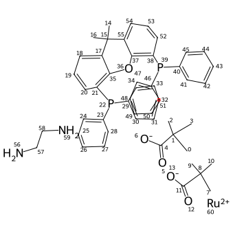 CC(C)(C)C(=O)[O-].CC(C)(C)C(=O)[O-].CC1(C)c2cccc(P(c3ccccc3)c3ccccc3)c2Oc2c(P(c3ccccc3)c3ccccc3)cccc21.NCCN.[Ru+2]